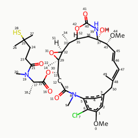 COc1cc2cc(c1Cl)N(C)C(=O)C[C@H](OC(=O)[C@H](C)N(C)C(=O)CCC(C)(C)S)[C@@]1(C)O[C@H]1[C@H](C)[C@@H]1C[C@@](O)(NC(=O)O1)[C@H](OC)/C=C/C=C(\C)C2